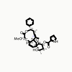 CO[C@H]1C[C@H]2C=C[C@]3(C)C[C@]2(O[C@H]3[C@H](OC(=O)c2ccc[nH]2)[C@H](C)[C@H](C)O)/C(C)=C/[C@@H](C)[C@@H](c2ccccc2)OC1=O